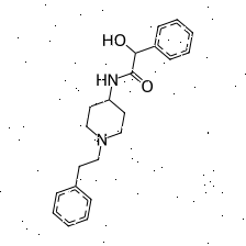 O=C(NC1CCN(CCc2ccccc2)CC1)C(O)c1ccccc1